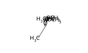 CCCCCCCCCCCCCCc1ccc(OCC(COP(O)OCCN(C)C)OC(C)=O)cc1